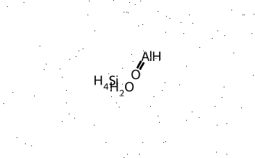 O.[O]=[AlH].[SiH4]